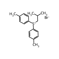 Cc1ccc([S+](CC(C)C)c2ccc(C)cc2)cc1.[Br-]